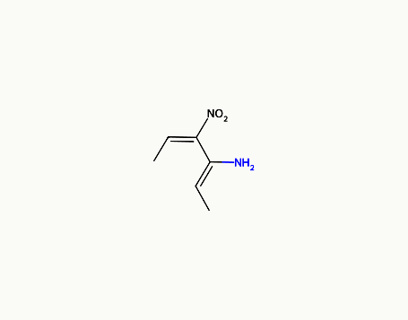 CC=C(N)C(=CC)[N+](=O)[O-]